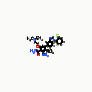 CN(C)CCOc1cc(-c2ccc3c(c2)ncn3[C@@H]2CCCC[C@H]2F)c([N+](=O)[O-])c(N)c1C(N)=O